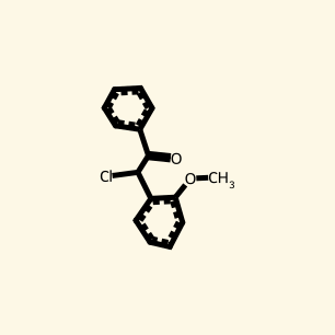 COc1ccccc1C(Cl)C(=O)c1ccccc1